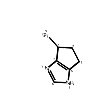 CC(C)C1CCc2[nH]cnc21